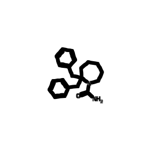 NC(=O)N1CCCCCC1(Cc1ccccc1)Cc1ccccc1